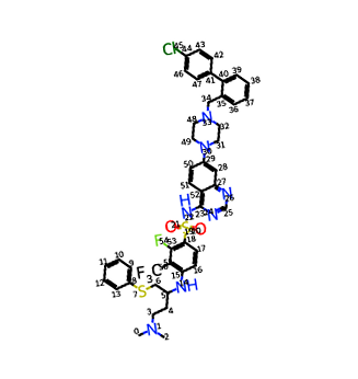 CN(C)CCC(CSc1ccccc1)Nc1ccc(S(=O)(=O)Nc2ncnc3cc(N4CCN(Cc5ccccc5-c5ccc(Cl)cc5)CC4)ccc23)c(F)c1C(F)(F)F